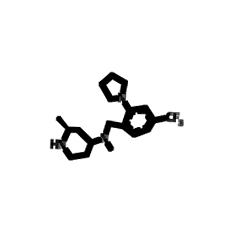 C[C@H]1CC(N(C)Cc2ccc(C(F)(F)F)cc2N2CCCC2)CCN1